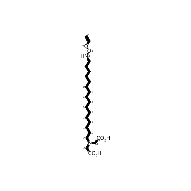 C=COONCCCCCCCCCCCCCCCCN(CC(=O)O)CC(=O)O